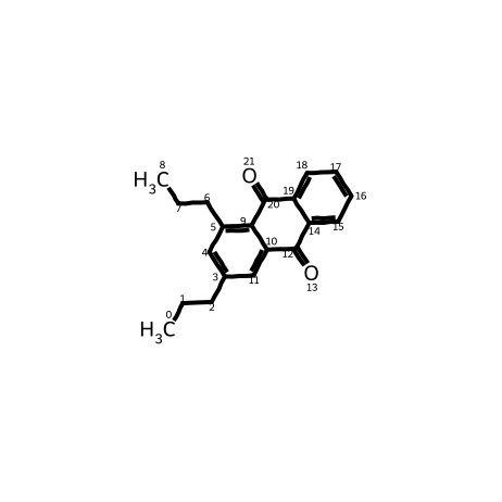 CCCc1cc(CCC)c2c(c1)C(=O)c1ccccc1C2=O